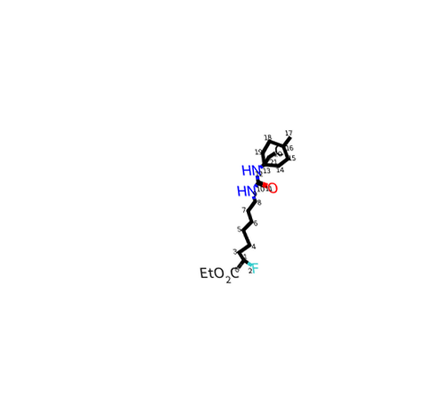 CCOC(=O)C(F)CCCCCCNC(=O)NC12CCC(C)(CC1)CC2